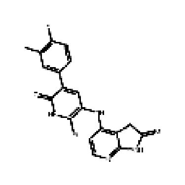 CCc1[nH]c(=O)c(-c2ccc(F)c(C)c2)cc1Nc1ccnc2c1CC(=O)N2